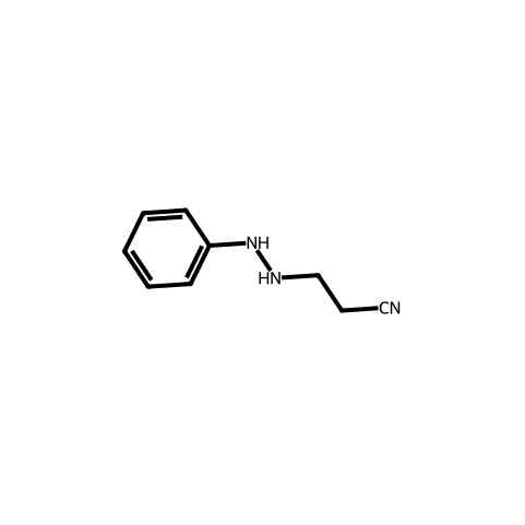 N#CCCNNc1ccccc1